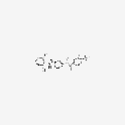 CC1(C)CCc2cc(NC(=O)c3ccc4nc(-c5c(Cl)cccc5Cl)[nH]c4c3)ccc21